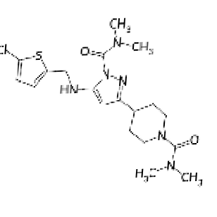 CN(C)C(=O)N1CCC(c2cc(NCc3ccc(Cl)s3)n(C(=O)N(C)C)n2)CC1